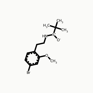 COc1cc(Br)ccc1CCN[S+]([O-])C(C)(C)C